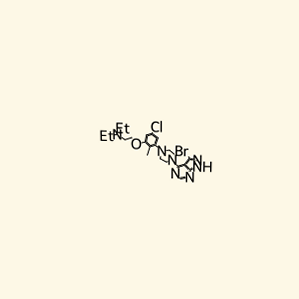 CCN(CC)CCOc1cc(Cl)cc(N2CCN(c3ncnc4[nH]nc(Br)c34)CC2)c1C